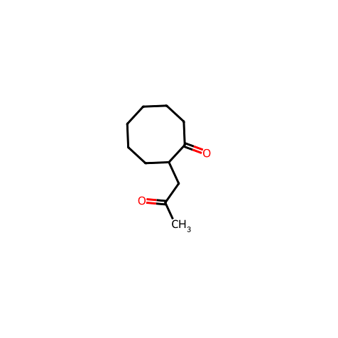 CC(=O)CC1CCCCCCC1=O